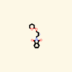 O=C1c2ccccc2C(=O)N1C/C=C\COC1CCCCO1